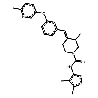 Cc1ccc(Oc2cccc(C=C3CCN(C(=O)Nc4onc(C)c4C)CC3C)c2)cn1